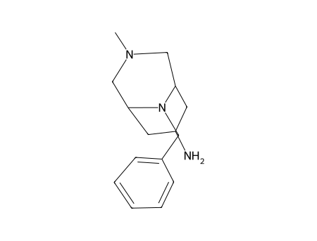 CN1CC2CC(N)CC(C1)N2Cc1ccccc1